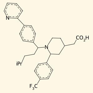 CC(C)CCC(c1ccc(-c2ccccn2)cc1)N1CCC(CC(=O)O)CC1c1ccc(C(F)(F)F)cc1